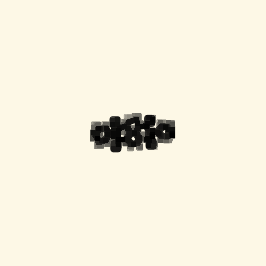 O=C1C2=c3c(ccc4c3=C(CC2)C(=O)N(c2ccncc2)C4=O)C(=O)N1c1ccncc1